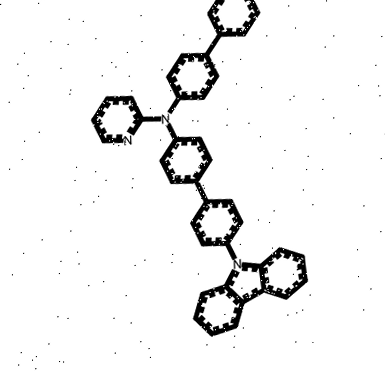 c1ccc(-c2ccc(N(c3ccc(-c4ccc(-n5c6ccccc6c6ccccc65)cc4)cc3)c3ccccn3)cc2)cc1